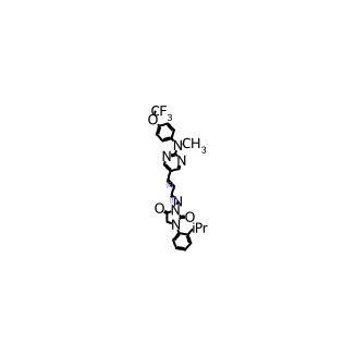 CC(C)c1ccccc1N1CC(=O)N(/N=C/C=C/c2cnc(N(C)c3ccc(OC(F)(F)F)cc3)nc2)C1=O